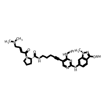 CCCNc1nc(Nc2ccc3c(OC)nn(C)c3c2)ncc1C#CCCCNC(=O)[C@@H]1CCCN1C(=O)/C=C/CN(C)C